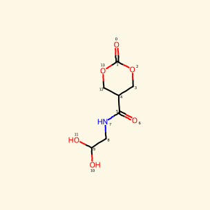 O=C1OCC(C(=O)NCC(O)O)CO1